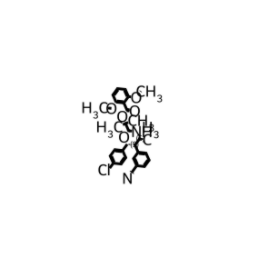 COc1cccc(OC)c1C(=O)OC(C)(C)C(=O)N[C@@H](C)[C@@H](Cc1ccc(Cl)cc1)c1cccc(C#N)c1